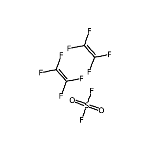 FC(F)=C(F)F.FC(F)=C(F)F.O=S(=O)(F)F